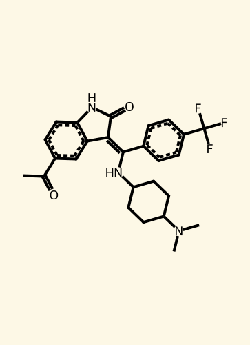 CC(=O)c1ccc2c(c1)C(=C(NC1CCC(N(C)C)CC1)c1ccc(C(F)(F)F)cc1)C(=O)N2